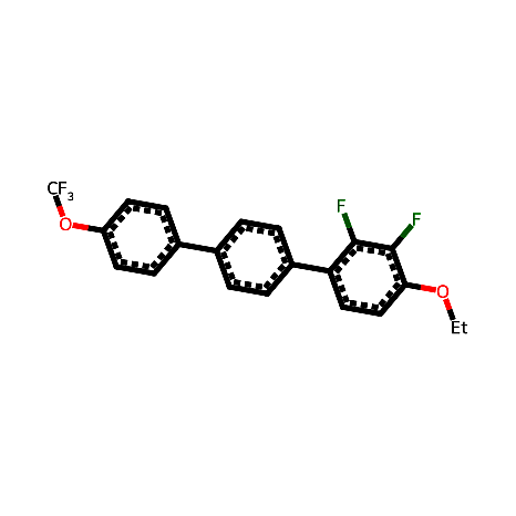 CCOc1ccc(-c2ccc(-c3ccc(OC(F)(F)F)cc3)cc2)c(F)c1F